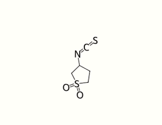 O=S1(=O)CCC(N=C=S)C1